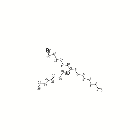 CCCCCCCCCC(CCCCCCBr)OCCCCCCCC